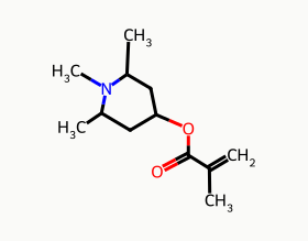 C=C(C)C(=O)OC1CC(C)N(C)C(C)C1